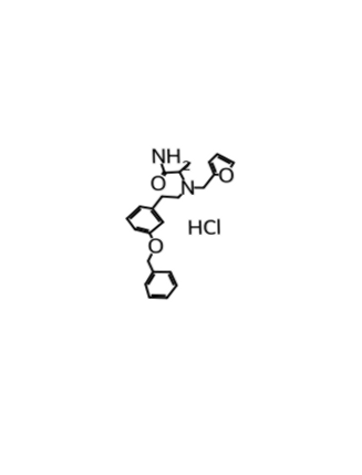 CC(C(N)=O)N(CCc1cccc(OCc2ccccc2)c1)Cc1ccco1.Cl